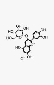 OC[C@H]1O[C@@H](Oc2cc3c(O)cc(O)cc3[o+]c2-c2ccc(O)c(O)c2)[C@H](O)[C@@H](O)[C@H]1O.[Cl-]